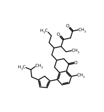 CCCC(CC1CC(=O)c2c(C)ccc(C3=CC=C(CC(C)C)C3)c2C1)C(CC)C(=O)CC(C)=O